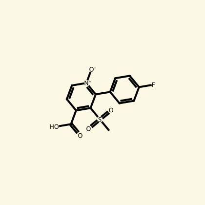 CS(=O)(=O)c1c(C(=O)O)cc[n+]([O-])c1-c1ccc(F)cc1